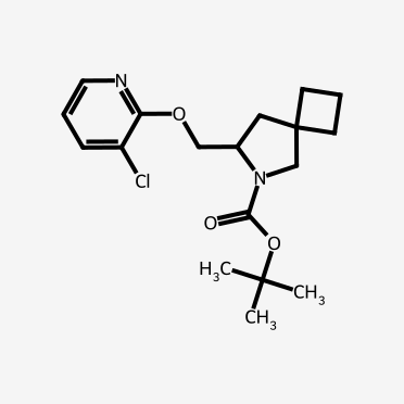 CC(C)(C)OC(=O)N1CC2(CCC2)CC1COc1ncccc1Cl